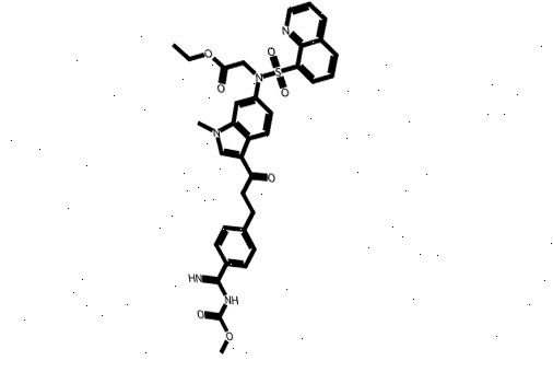 CCOC(=O)CN(c1ccc2c(C(=O)CCc3ccc(C(=N)NC(=O)OC)cc3)cn(C)c2c1)S(=O)(=O)c1cccc2cccnc12